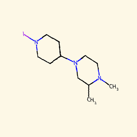 CC1CN(C2CCN(I)CC2)CCN1C